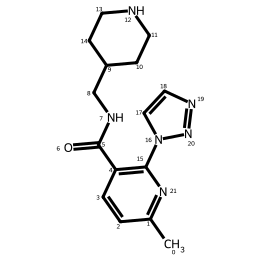 Cc1ccc(C(=O)NCC2CCNCC2)c(-n2ccnn2)n1